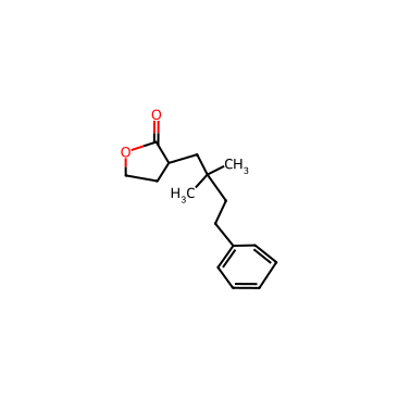 CC(C)(CCc1ccccc1)CC1CCOC1=O